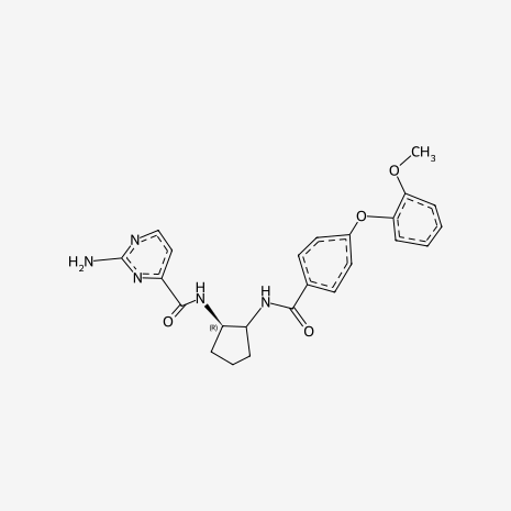 COc1ccccc1Oc1ccc(C(=O)NC2CCC[C@H]2NC(=O)c2ccnc(N)n2)cc1